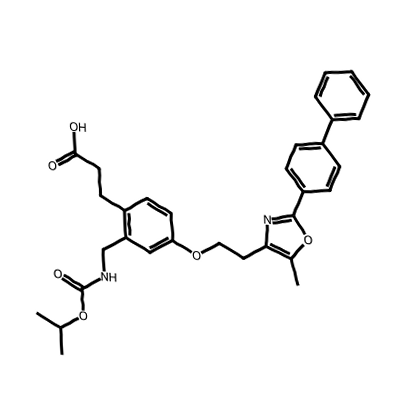 Cc1oc(-c2ccc(-c3ccccc3)cc2)nc1CCOc1ccc(CCC(=O)O)c(CNC(=O)OC(C)C)c1